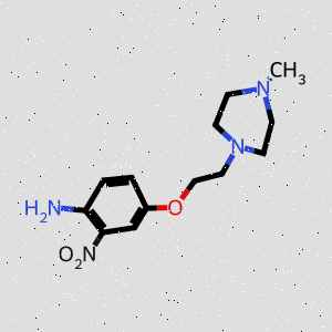 CN1CCN(CCOc2ccc(N)c([N+](=O)[O-])c2)CC1